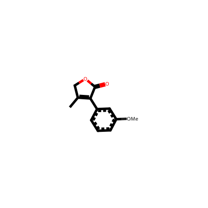 COc1cccc(C2=C(C)COC2=O)c1